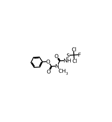 CN(C(=O)NSC(F)(Cl)Cl)C(=O)Oc1ccccc1